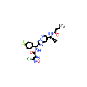 O=C(CCC(F)(F)F)N[C@@H](c1cnn2cc([C@@H](NC(=O)c3nonc3Cl)C3CCC(F)(F)CC3)nc2c1)C1CC1